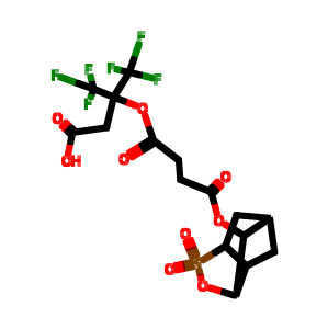 O=C(O)CC(OC(=O)CCC(=O)OC1C2CC3C1OS(=O)(=O)C3C2)(C(F)(F)F)C(F)(F)F